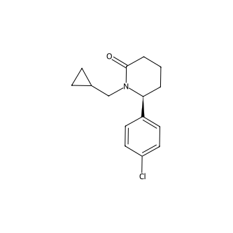 O=C1CCC[C@@H](c2ccc(Cl)cc2)N1CC1CC1